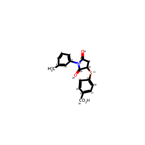 Cc1cccc(N2C(=O)CC(Sc3ccc(C(=O)O)cc3)C2=O)c1